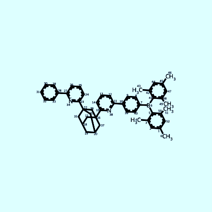 Cc1cc(C)c(B(c2ccc(-c3cccc(C45CC6CC(CC(c7cccc(-c8ccccc8)n7)(C6)C4)C5)n3)cc2)c2c(C)cc(C)cc2C)c(C)c1